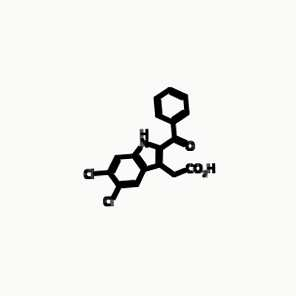 O=C(O)Cc1c(C(=O)c2ccccc2)[nH]c2cc(Cl)c(Cl)cc12